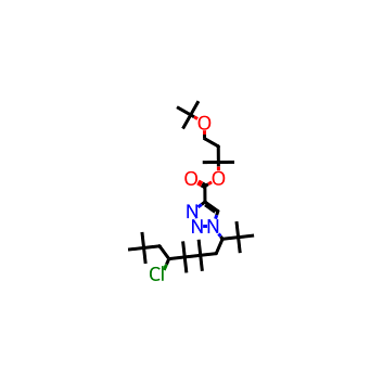 CC(C)(C)CC(Cl)C(C)(C)C(C)(C)CC(n1cc(C(=O)OC(C)(C)CCOC(C)(C)C)nn1)C(C)(C)C